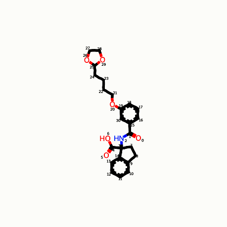 O=C(NC1(C(=O)O)CCc2ccccc21)c1cccc(OCCCCC2OCCO2)c1